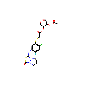 CC(=O)OC1COCC1OC(=O)CSc1cc(N=c2sc(=O)n3n2CCC3)c(F)cc1Cl